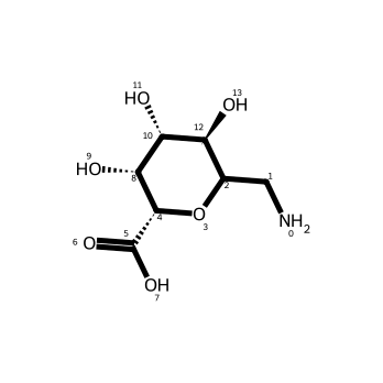 NCC1O[C@H](C(=O)O)[C@H](O)[C@H](O)[C@H]1O